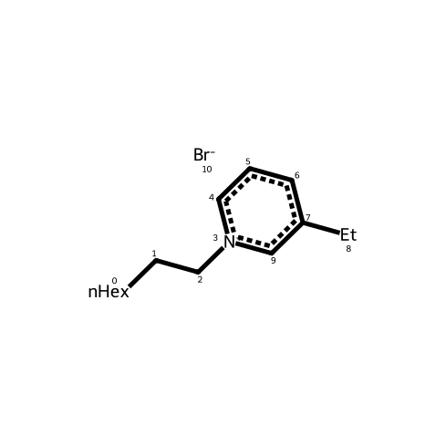 CCCCCCCC[n+]1cccc(CC)c1.[Br-]